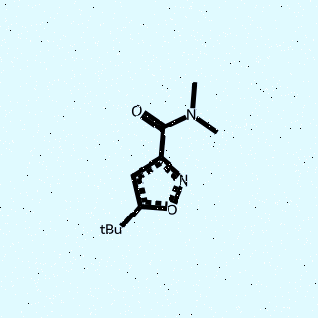 CN(C)C(=O)c1cc(C(C)(C)C)on1